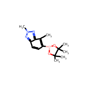 Cc1c(B2OC(C)(C)C(C)(C)O2)ccc2nn(C)nc12